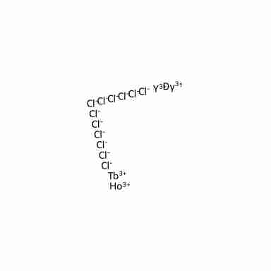 [Cl-].[Cl-].[Cl-].[Cl-].[Cl-].[Cl-].[Cl-].[Cl-].[Cl-].[Cl-].[Cl-].[Cl-].[Dy+3].[Ho+3].[Tb+3].[Y+3]